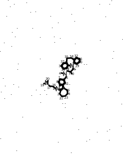 CC(CN(C)Cc1ccc2c(c1)c1c(n2CCCN(C)C)CCCCC1)CN1c2ccccc2CCc2ccccc21